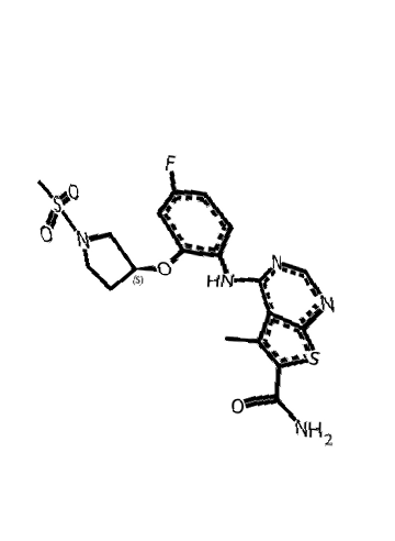 Cc1c(C(N)=O)sc2ncnc(Nc3ccc(F)cc3O[C@H]3CCN(S(C)(=O)=O)C3)c12